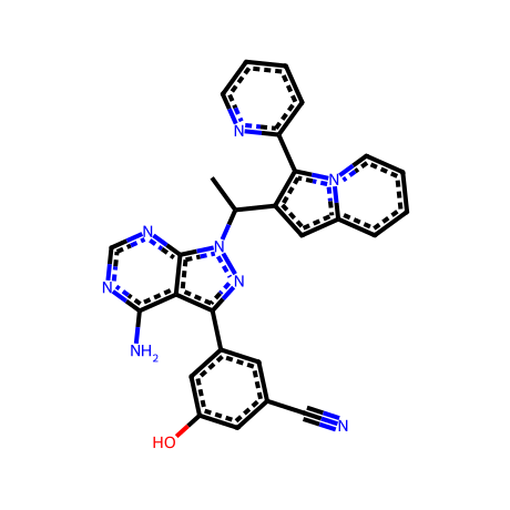 CC(c1cc2ccccn2c1-c1ccccn1)n1nc(-c2cc(O)cc(C#N)c2)c2c(N)ncnc21